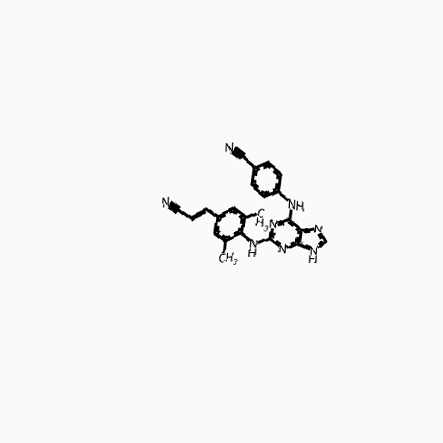 Cc1cc(/C=C/C#N)cc(C)c1Nc1nc(Nc2ccc(C#N)cc2)c2nc[nH]c2n1